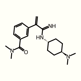 C=C(C(=N)N[C@H]1CC[C@H](N(C)C)CC1)c1cccc(C(=O)N(C)C)c1